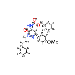 COc1ccc(-c2cc(NC(=O)OCc3ccccc3)c(=O)n(CCCc3ccccc3)n2)cc1